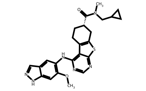 COc1cc2[nH]ncc2cc1Nc1ncnc2sc3c(c12)CC[C@H](C(=O)N(C)CC1CC1)C3